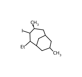 CCC1C2CC(C)CC(C2)C[C@H](C)C1I